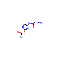 CCC(=O)Oc1nc(NC(=O)CN)c[nH]1